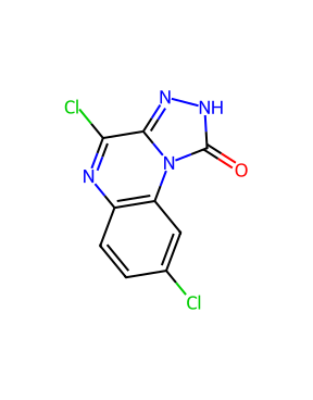 O=c1[nH]nc2c(Cl)nc3ccc(Cl)cc3n12